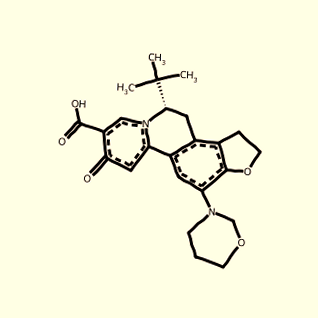 CC(C)(C)[C@@H]1Cc2c(cc(N3CCCOC3)c3c2CCO3)-c2cc(=O)c(C(=O)O)cn21